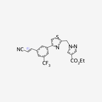 CCOC(=O)c1cnn(Cc2nc(-c3cc(/C=C/C#N)cc(C(F)(F)F)c3)cs2)c1